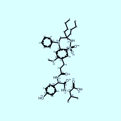 CCCCC1(CCCC)CN(c2ccccc2)c2cc(SC)c(CCC(=O)N[C@@H](C(=O)N[C@H](C(=O)O)C(C)C)c3ccc(O)cc3)cc2S(=O)(=O)N1